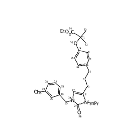 CCCn1c(CCCc2ccc(OC(C)(C)C(=O)OCC)cc2)cn(Cc2cccc(Cl)c2)c1=O